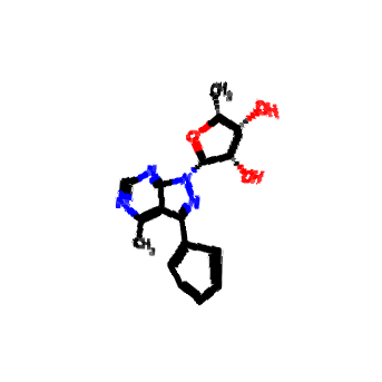 Cc1ncnc2c1c(-c1ccccc1)nn2[C@@H]1O[C@H](C)[C@H](O)[C@@H]1O